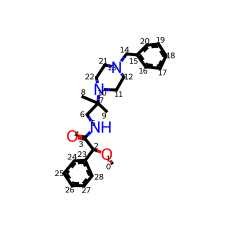 COC(C(=O)NCC(C)(C)N1CCN(Cc2ccccc2)CC1)c1ccccc1